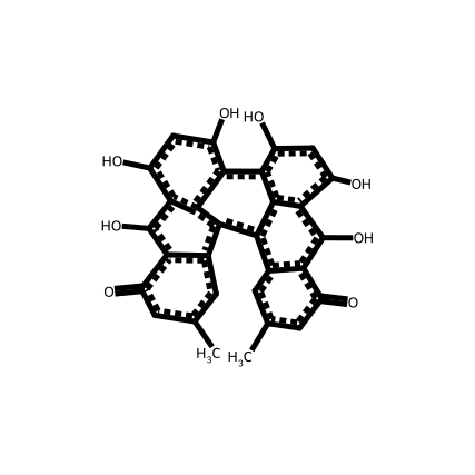 Cc1cc(=O)c2c(O)c3c(O)cc(O)c4c5c(O)cc(O)c6c(O)c7c(=O)cc(C)cc7c(c65)c(c2c1)c34